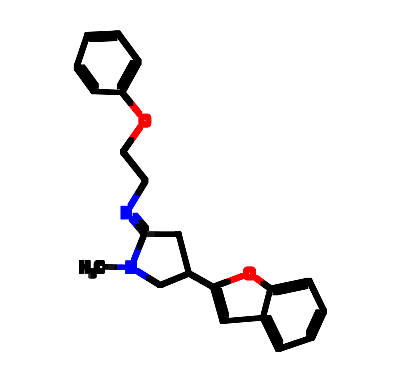 CN1CC(c2cc3ccccc3o2)CC1=NCCOc1ccccc1